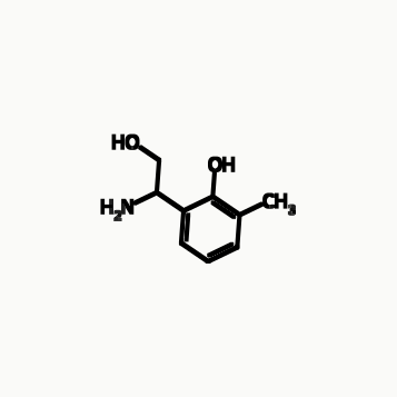 Cc1cccc(C(N)CO)c1O